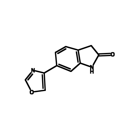 O=C1Cc2ccc(-c3cocn3)cc2N1